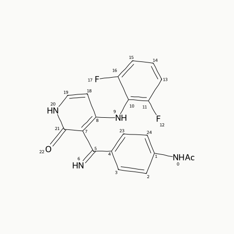 CC(=O)Nc1ccc(C(=N)c2c(Nc3c(F)cccc3F)cc[nH]c2=O)cc1